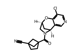 N#CC12CCC(C(=O)N3C[C@@H]4C[C@H]3c3cncc(Cl)c3O4)(C1)C2